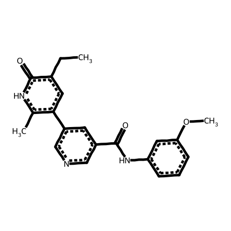 CCc1cc(-c2cncc(C(=O)Nc3cccc(OC)c3)c2)c(C)[nH]c1=O